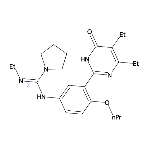 CCCOc1ccc(N/C(=N/CC)N2CCCC2)cc1-c1nc(CC)c(CC)c(=O)[nH]1